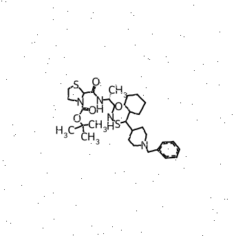 C[C@@H](NC(=O)C1SCCN1C(=O)OC(C)(C)C)C(=O)NSC(C1CCCCC1)C1CCN(Cc2ccccc2)CC1